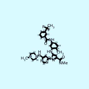 CNC(=O)c1cc(Nc2cc(NC(=O)c3cccc(C(C)(F)F)c3)ccc2C)n(-c2cc(NN3CCN(C)CC3)ncn2)n1